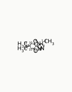 CCc1cnnc(C2C(=O)CC(C(C)C)CC2=O)n1